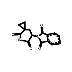 O=C1NC(=O)C2(CC2)CC1N1C(=O)c2ccccc2C1=O